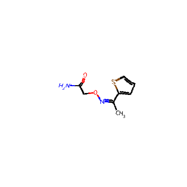 C/C(=N/OCC(N)=O)c1cccs1